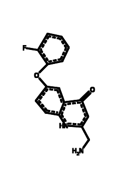 NCc1cc(=O)c2cc(Oc3ccccc3F)ccc2[nH]1